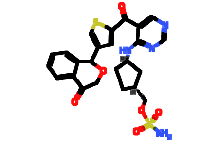 NS(=O)(=O)OC[C@@H]1CC[C@H](Nc2ncncc2C(=O)c2cc(C3OCC(=O)c4ccccc43)cs2)C1